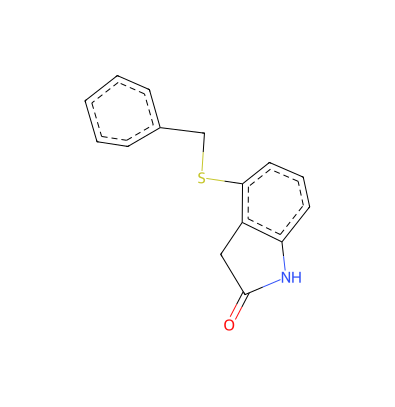 O=C1Cc2c(cccc2SCc2ccccc2)N1